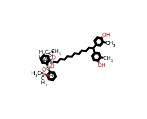 Cc1cc(C(CCCCCCCCCC[Si](C)(O[Si](C)(C)C)O[Si](O[Si](C)(C)C)(c2ccccc2)c2ccccc2)c2ccc(O)c(C)c2)ccc1O